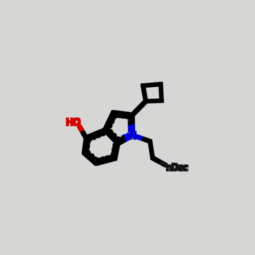 CCCCCCCCCCCCn1c(C2CCC2)cc2c(O)cccc21